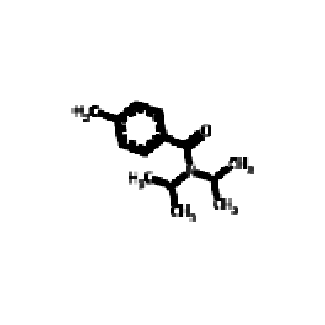 [CH2]c1ccc(C(=O)N(C(C)C)C(C)C)cc1